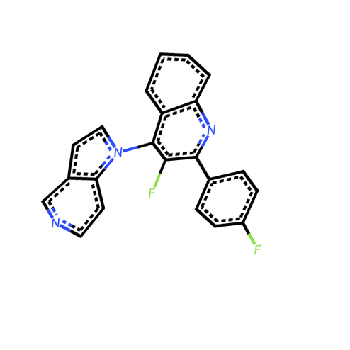 Fc1ccc(-c2nc3ccccc3c(-n3ccc4cnccc43)c2F)cc1